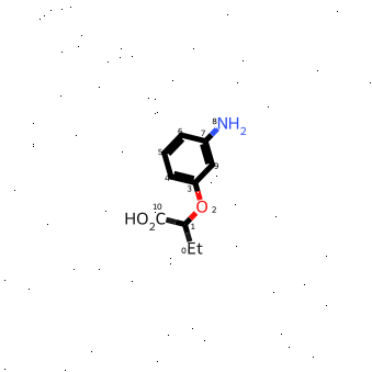 CCC(Oc1cccc(N)c1)C(=O)O